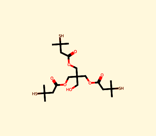 CC(C)(S)CC(=O)OCC(CO)(COC(=O)CC(C)(C)S)COC(=O)CC(C)(C)S